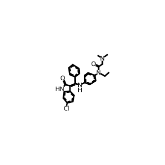 CCN(C(=O)CN(C)C)c1ccc(NC(=C2C(=O)Nc3cc(Cl)ccc32)c2ccccc2)cc1